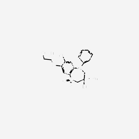 CCCC[C@@]1(CC)CN(c2ccccc2)c2cc(Cl)c(OCCC(=O)O)cc2S(=O)(=O)C1